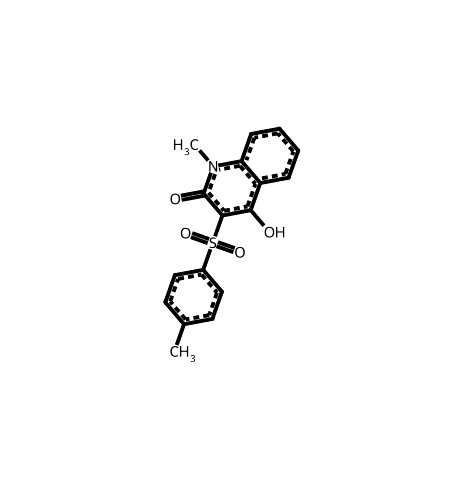 Cc1ccc(S(=O)(=O)c2c(O)c3ccccc3n(C)c2=O)cc1